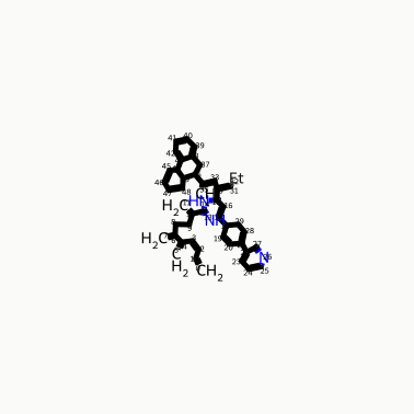 C=C/C=C\C(=C)C(=C)CCC(=C)C(=N)NC(/C=C/C1C=CC(c2cccnc2)=CC1)C(=C/CC)/C=C(\C)C1Cc2ccccc2C2C=CC=CC12